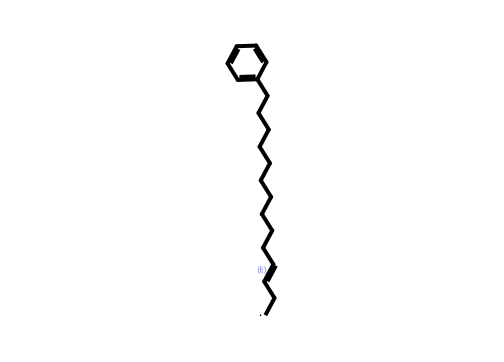 [CH2]C/C=C/CCCCCCCCCCc1ccccc1